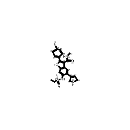 CCS(=O)(=O)Nc1cc2oc(-c3ccc(F)cc3)c(C(=O)NC)c2cc1C1=CCNC1